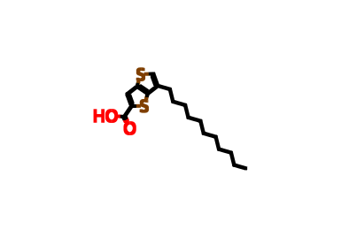 CCCCCCCCCCCc1csc2cc(C(=O)O)sc12